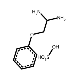 NC(N)COc1ccccc1.O=S(=O)(O)O